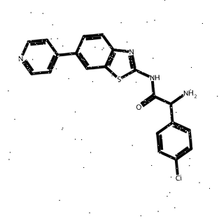 NC(C(=O)Nc1nc2ccc(-c3ccncc3)cc2s1)c1ccc(Cl)cc1